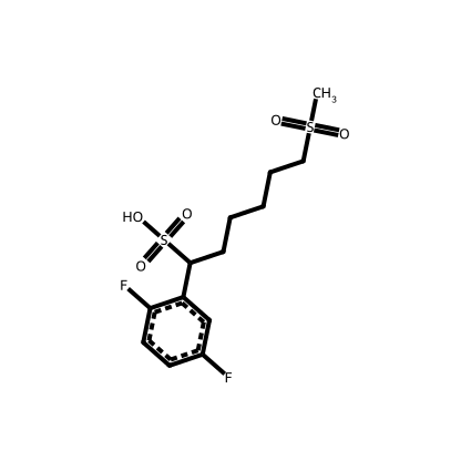 CS(=O)(=O)CCCCCC(c1cc(F)ccc1F)S(=O)(=O)O